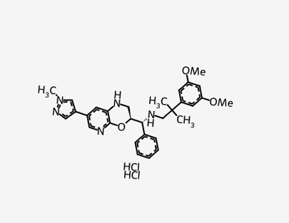 COc1cc(OC)cc(C(C)(C)CN[C@H](c2ccccc2)[C@@H]2CNc3cc(-c4cnn(C)c4)cnc3O2)c1.Cl.Cl